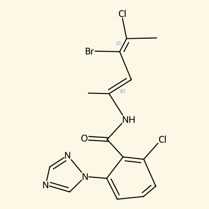 C/C(Cl)=C(Br)\C=C(/C)NC(=O)c1c(Cl)cccc1-n1cncn1